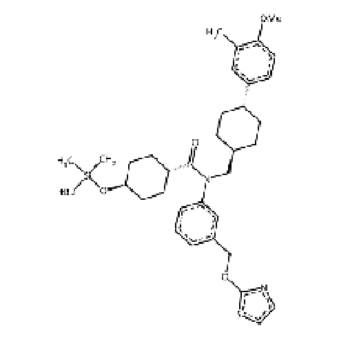 COc1ccc([C@H]2CC[C@H](CN(c3cccc(COc4nccs4)c3)C(=O)[C@H]3CC[C@H](O[Si](C)(C)C(C)(C)C)CC3)CC2)cc1C